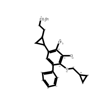 CCOC(=O)CCC1CC1c1cc(-c2ccccc2)c(OCC2CC2)c(Cl)c1C(F)(F)F